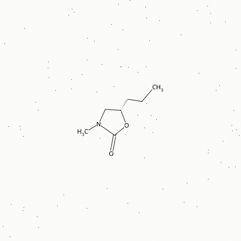 CCC[C@H]1CN(C)C(=O)O1